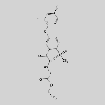 CCOC(=O)CNOC(=O)c1cc(Oc2ccc(Cl)cc2F)ccc1S(C)(=O)=O